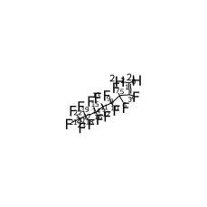 [2H]C([2H])=C(F)C(F)(F)C(F)(F)C(F)(F)C(F)(F)C(F)(F)C(F)(F)F